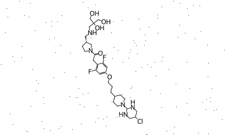 O=C(Cc1c(F)cc(OCCCC2CCN(C3NCC(Cl)CN3)CC2)cc1F)N1CC[C@@H](CNCC(O)(CO)CO)C1